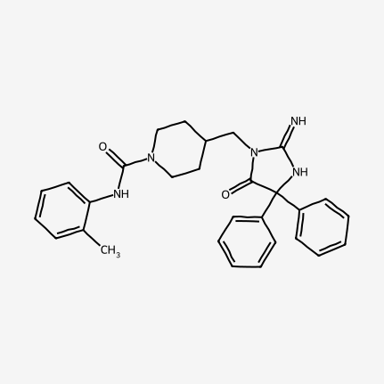 Cc1ccccc1NC(=O)N1CCC(CN2C(=N)NC(c3ccccc3)(c3ccccc3)C2=O)CC1